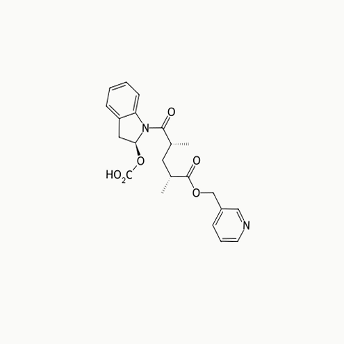 C[C@H](C[C@@H](C)C(=O)N1c2ccccc2C[C@@H]1OC(=O)O)C(=O)OCc1cccnc1